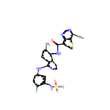 CNc1ncnc2c(C(=O)Nc3c(C)ccc4c(Nc5ccc(Cl)c(NS(C)(=O)=O)c5)nccc34)csc12